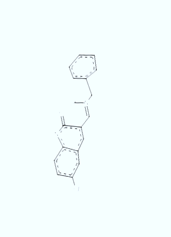 Cc1ccc2[nH]c(=O)c(/C=[N+](\[O-])Cc3ccccc3)cc2c1